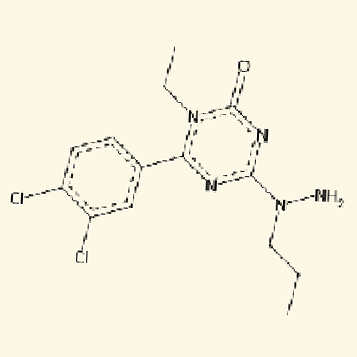 CCCN(N)c1nc(-c2ccc(Cl)c(Cl)c2)n(CC)c(=O)n1